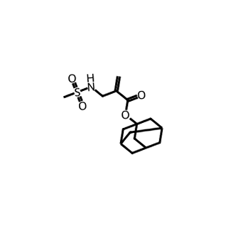 C=C(CNS(C)(=O)=O)C(=O)OC12CC3CC(CC(C3)C1)C2